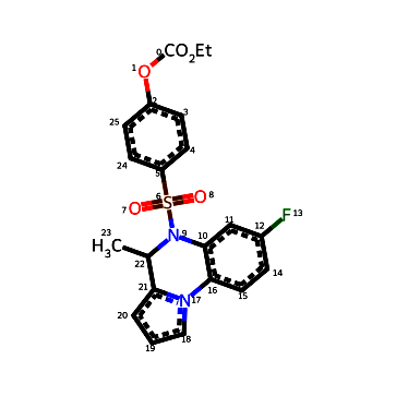 CCOC(=O)Oc1ccc(S(=O)(=O)N2c3cc(F)ccc3-n3cccc3C2C)cc1